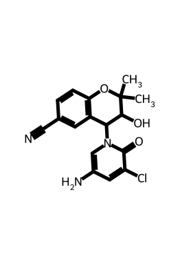 CC1(C)Oc2ccc(C#N)cc2C(n2cc(N)cc(Cl)c2=O)C1O